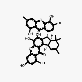 CC1=C[C@H]2c3c(c(O)c(O)c4oc5cc(O)cc(O)c5c(=O)c34)[C@H](c3cc(O)c(O)c4oc5cc(C)cc(O)c5c(=O)c34)[C@H]2C(C)(C)C1